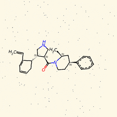 C=CC1=CC=CCC1[C@@H]1CNC[C@H]1C(=O)N1CC[C@H](c2ccccc2)C[C@@H]1C